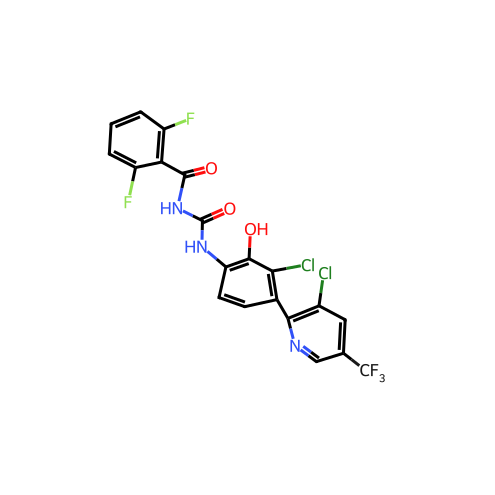 O=C(NC(=O)c1c(F)cccc1F)Nc1ccc(-c2ncc(C(F)(F)F)cc2Cl)c(Cl)c1O